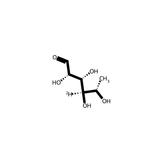 [2H][C@@](O)([C@H](C)O)[C@@H](O)[C@H](O)C=O